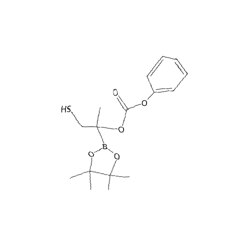 CC(CS)(OC(=O)Oc1ccccc1)B1OC(C)(C)C(C)(C)O1